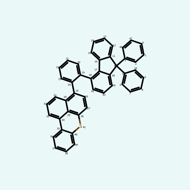 c1ccc(C2(c3ccccc3)c3ccccc3-c3c(-c4ccccc4-c4ccc5c6c(cccc46)-c4ccccc4S5)cccc32)cc1